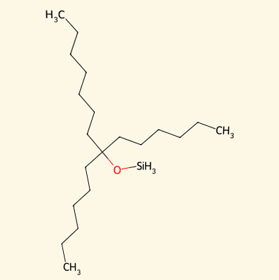 CCCCCCCC(CCCCCC)(CCCCCC)O[SiH3]